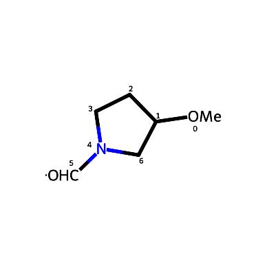 COC1CCN([C]=O)C1